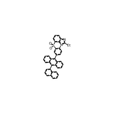 CCc1nc2cccc3c2n1-c1ccc(-c2c4ccccc4c(-c4cccc5ccccc45)c4ccccc24)cc1S3(=O)=O